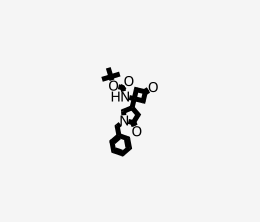 CC(C)(C)OC(=O)NC1(C2CC(=O)N(Cc3ccccc3)C2)CC(=O)C1